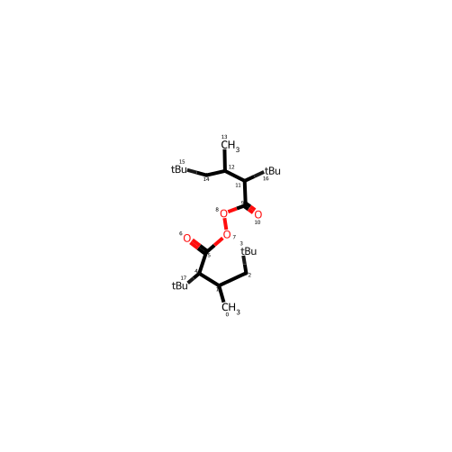 CC(CC(C)(C)C)C(C(=O)OOC(=O)C(C(C)CC(C)(C)C)C(C)(C)C)C(C)(C)C